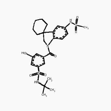 CC(C)(C)NS(=O)(=O)c1cc(O)cc(C(=O)N2CC3(CCCCC3)c3cc(NS(C)(=O)=O)ccc32)c1